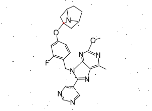 COc1nc(C)c2nc(-c3cncnc3)n(Cc3ccc(OC4CC5CCC(C4)N5C)cc3F)c2n1